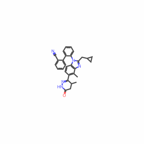 Cc1c(C2=NNC(=O)CC2C)ccc2c1nc(CC1CC1)n2-c1ccccc1-c1ccccc1C#N